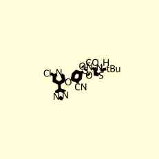 CC(C)(C)c1nc(N(C(=O)O)S(=O)(=O)c2ccc(Oc3cnc(Cl)cc3-c3cncnc3)c(C#N)c2)cs1